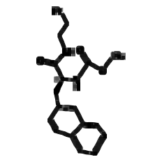 CC(C)CCNC(=O)[C@H](Cc1ccc2ccccc2c1)NC(=O)OC(C)(C)C